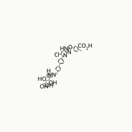 Cc1ccc(Oc2nc3nc(-c4ccc(-c5ccc(CNCC(O)C(O)C(O)C(O)CO)cc5)cc4)c(Cl)cc3[nH]2)cc1C(=O)O